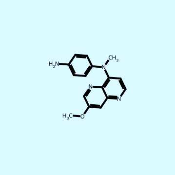 COc1cnc2c(N(C)c3ccc(N)cc3)ccnc2c1